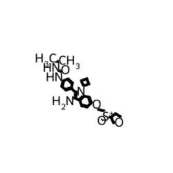 CC(C)NC(=O)Nc1ccc(-c2c(N)c3ccc(OCC[S+]([O-])C4CCOC4)cc3n2C2CCC2)cc1